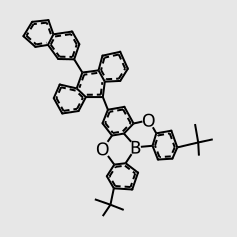 CC(C)(C)c1ccc2c(c1)Oc1cc(-c3c4ccccc4c(-c4ccc5ccccc5c4)c4ccccc34)cc3c1B2c1ccc(C(C)(C)C)cc1O3